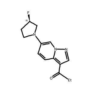 CCC(=O)c1cnn2cc(N3CC[C@@H](F)C3)ccc12